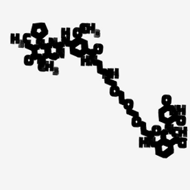 CCC1C(=O)N(C)c2cnc(Nc3ccc(C(=O)NCCNCCOCCOCCOCCC(=O)Nc4cccc(C=O)c4CN(C)C4CCC(=O)NC4=O)cc3OC)nc2N1C1CCCC1